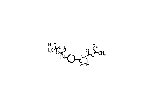 CS/C(=N\NC(=O)OC(C)C)C1CCC(NC(=O)OC(C)(C)C)CC1